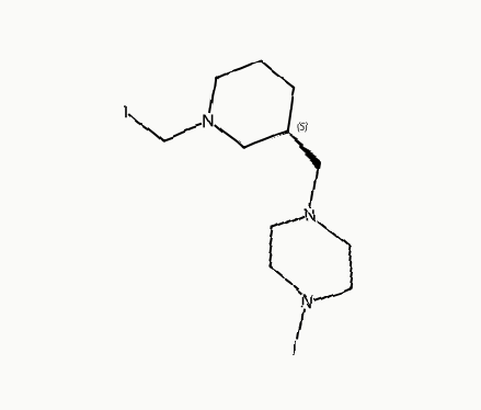 ICN1CCC[C@@H](CN2CCN(I)CC2)C1